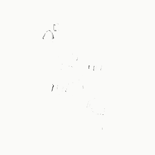 CCOc1ccc(C2=CC(N)=C3C(=O)C(c4ccc(OCC)cc4)=CC(N)=C3C2=O)cc1